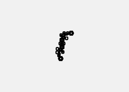 O=C(COC1CCCCC1)C1C(=O)c2ccc(S(=O)(=O)c3ccc4c(c3)C(=O)C(C(=O)COC3CCCCC3)C4=O)cc2C1=O